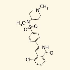 CN1CCC(N(C)S(=O)(=O)c2ccc(-c3cc4c(Cl)cccc4c(=O)[nH]3)cc2)CC1